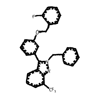 Fc1ccccc1COc1cccc(-c2c3cccc(C(F)(F)F)c3nn2Cc2ccccc2)c1